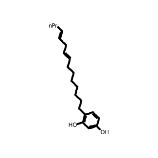 CCCC=CCC=CCCCCCCCc1ccc(O)cc1O